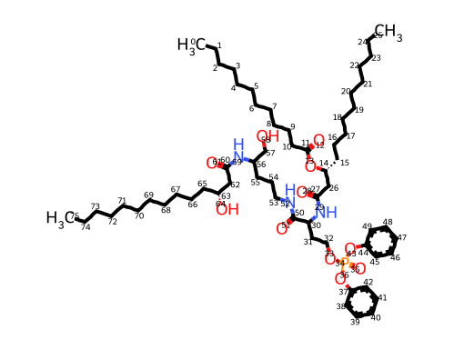 CCCCCCCCCCCC(=O)O[C@H](CCCCCCCCCCC)CC(=O)NC(CCOP(=O)(Oc1ccccc1)Oc1ccccc1)C(=O)NCCCC(CO)NC(=O)C[C@H](O)CCCCCCCCCCC